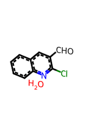 O.O=Cc1cc2ccccc2nc1Cl